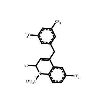 CCOC(=O)N1c2ccc(C(F)(F)F)cc2C(Cc2cc(C(F)(F)F)cc(C(F)(F)F)c2)=CC1CC